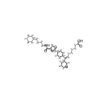 O=C(O)CCCCC/C=C(\c1ccc(-c2nc(C(=O)NCCCCC3CCCCC3)co2)cc1)c1cccnc1